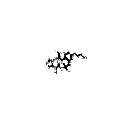 CCCN1C=NCC1NC(=O)OC(C)(C)Cc1cc(CCCC(C)C)ccc1CCCC(C)C